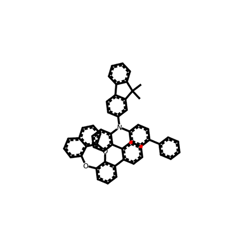 CC1(C)c2ccccc2-c2ccc(N(c3ccc(-c4ccccc4)cc3)c3ccccc3-c3ccccc3-c3cccc4c3Oc3cccc5cccc(c35)O4)cc21